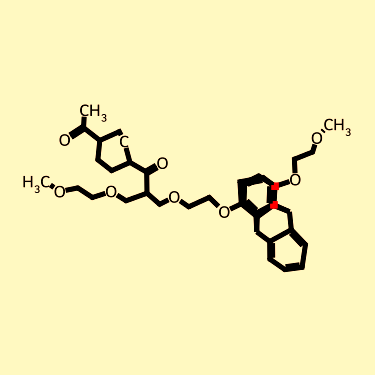 COCCOCC(COCCOc1ccc(OCCOC)c2c1C1c3ccccc3C2c2ccccc21)C(=O)C1CCC(C(C)=O)CC1